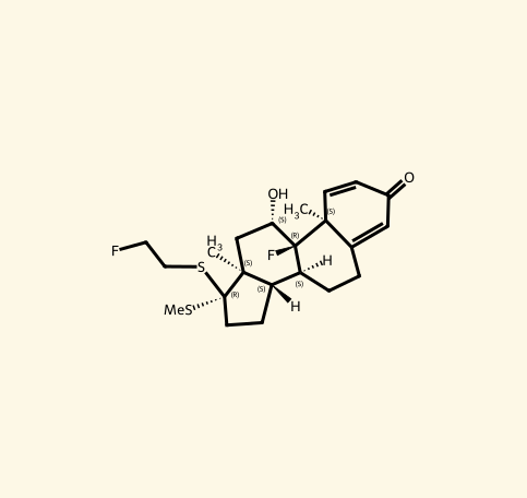 CS[C@@]1(SCCF)CC[C@H]2[C@@H]3CCC4=CC(=O)C=C[C@]4(C)[C@@]3(F)[C@@H](O)C[C@@]21C